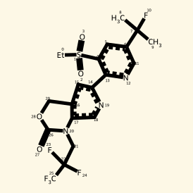 CCS(=O)(=O)c1cc(C(C)(C)F)cnc1-c1cc2c(cn1)N(CC(F)(F)C(F)(F)F)C(=O)OC2